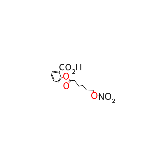 O=C(CCCCCO[N+](=O)[O-])Oc1ccccc1C(=O)O